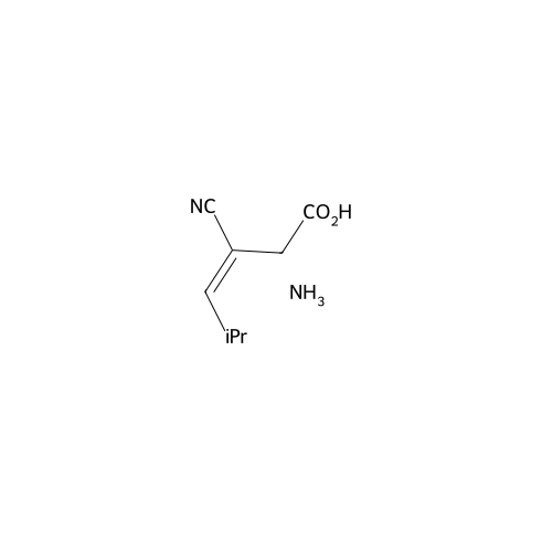 CC(C)C=C(C#N)CC(=O)O.N